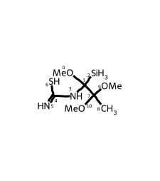 COC([SiH3])(NC(=N)S)C(C)(OC)OC